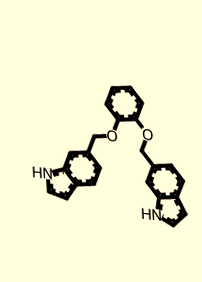 c1ccc(OCc2ccc3cc[nH]c3c2)c(OCc2ccc3cc[nH]c3c2)c1